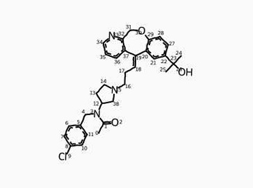 CC(=O)N(Cc1ccc(Cl)cc1)C1CCN(CCC=C2c3cc(C(C)(C)O)ccc3OCc3ncccc32)C1